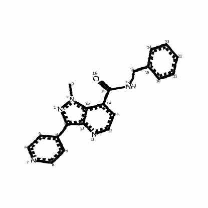 Cn1nc(-c2ccncc2)c2nccc(C(=O)NCc3ccccc3)c21